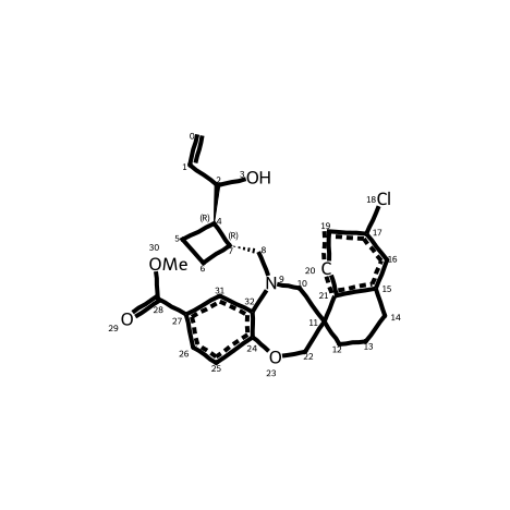 C=CC(O)[C@@H]1CC[C@H]1CN1CC2(CCCc3cc(Cl)ccc32)COc2ccc(C(=O)OC)cc21